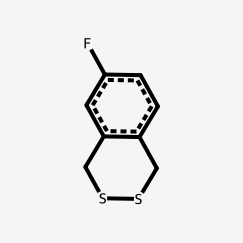 Fc1ccc2c(c1)CSSC2